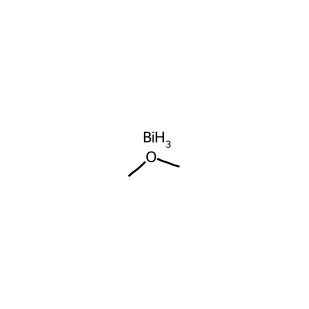 COC.[BiH3]